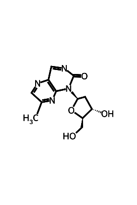 Cc1cnc2cnc(=O)n([C@H]3C[C@H](O)[C@@H](CO)O3)c2n1